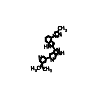 Cc1cn(-c2cccc3[nH]c(-c4n[nH]c5cnc(-c6cncc(N(C)C)c6)cc45)cc23)cn1